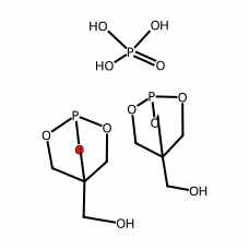 O=P(O)(O)O.OCC12COP(OC1)OC2.OCC12COP(OC1)OC2